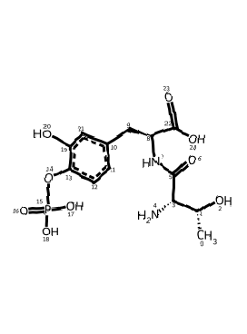 C[C@@H](O)[C@H](N)C(=O)N[C@@H](Cc1ccc(OP(=O)(O)O)c(O)c1)C(=O)O